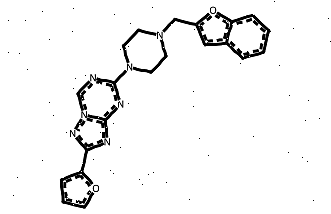 c1coc(-c2nc3nc(N4CCN(Cc5cc6ccccc6o5)CC4)ncn3n2)c1